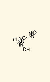 Cc1c(Cl)nc(OCCCc2nc3ccccn3n2)nc1NCC(C)(C)O